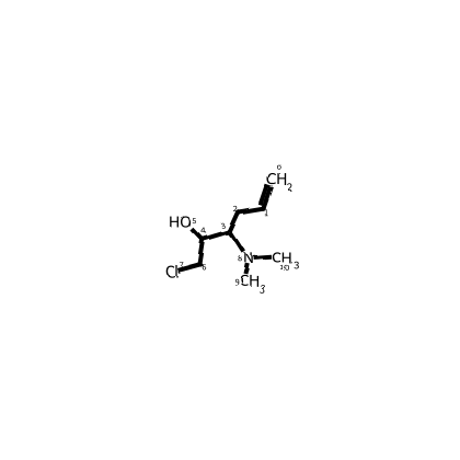 C=CCC(C(O)CCl)N(C)C